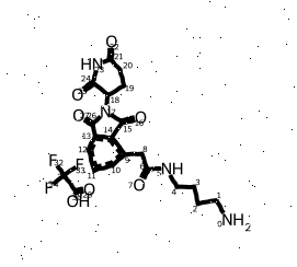 NCCCCNC(=O)Cc1cccc2c1C(=O)N(C1CCC(=O)NC1=O)C2=O.O=C(O)C(F)(F)F